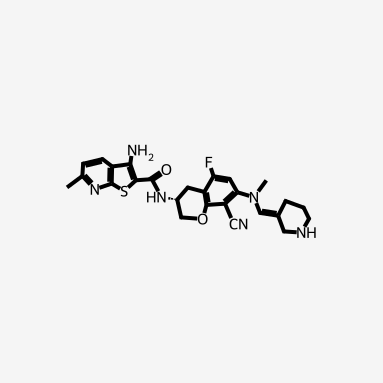 Cc1ccc2c(N)c(C(=O)N[C@H]3COc4c(C#N)c(N(C)/C=C5\CCCNC5)cc(F)c4C3)sc2n1